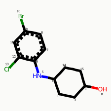 OC1CCC(Nc2ccc(Br)cc2Cl)CC1